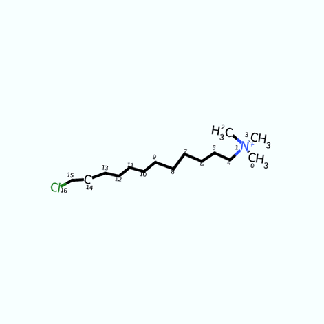 C[N+](C)(C)CCCCCCCCCCCCCl